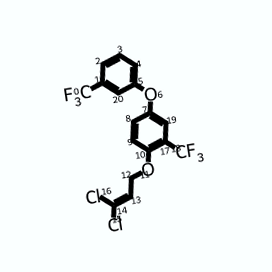 FC(F)(F)c1cccc(Oc2ccc(OCC=C(Cl)Cl)c(C(F)(F)F)c2)c1